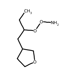 CCC(CC1CCOC1)OON